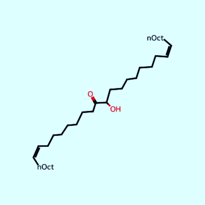 CCCCCCCC/C=C\CCCCCCCC(=O)C(O)CCCCCCC/C=C\CCCCCCCC